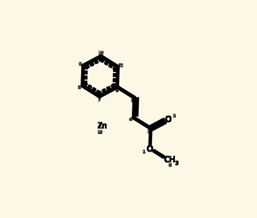 COC(=O)/C=C/c1ccccc1.[Zn]